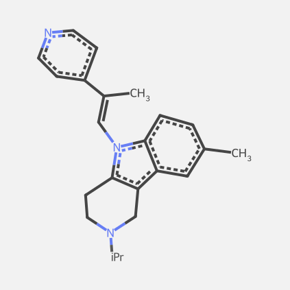 CC(=Cn1c2c(c3cc(C)ccc31)CN(C(C)C)CC2)c1ccncc1